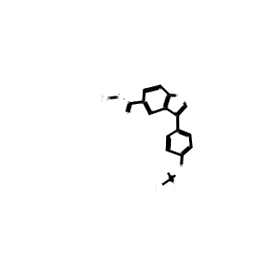 NNC(=O)c1ccc2occ(-c3ccc(OC(F)(F)F)cc3)c2c1